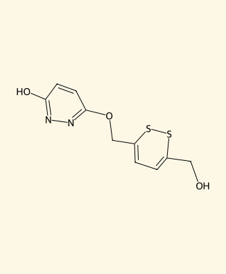 OCC1=CC=C(COc2ccc(O)nn2)SS1